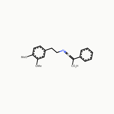 COc1ccc(CCN=C=C(C(=O)O)c2ccccc2)cc1OC